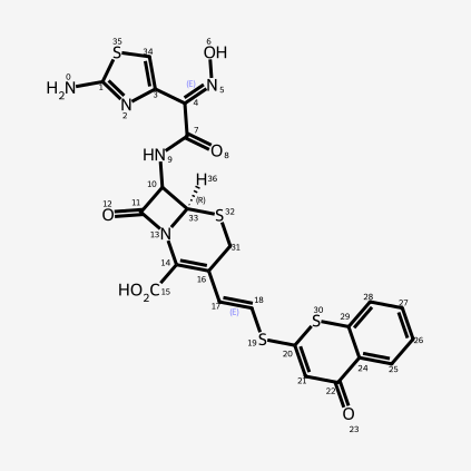 Nc1nc(/C(=N\O)C(=O)NC2C(=O)N3C(C(=O)O)=C(/C=C/Sc4cc(=O)c5ccccc5s4)CS[C@H]23)cs1